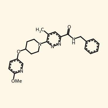 COc1ccc(OC2CCN(c3nnc(C(=O)NCc4ccccc4)cc3C)CC2)cn1